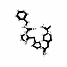 CC(=N)N1CCC(CC(=N)N2CCC(CC3=NCCN3C(=O)OCc3ccccc3)C2)CC1